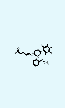 COc1ccccc1[C@H]1O[C@@H](c2c(F)c(F)c(F)c(F)c2F)OC[C@H]1CC=CCCC(=O)O